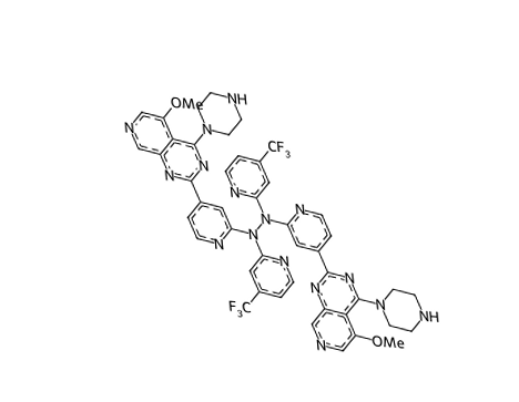 COc1cncc2nc(-c3ccnc(N(c4cc(C(F)(F)F)ccn4)N(c4cc(-c5nc(N6CCNCC6)c6c(OC)cncc6n5)ccn4)c4cc(C(F)(F)F)ccn4)c3)nc(N3CCNCC3)c12